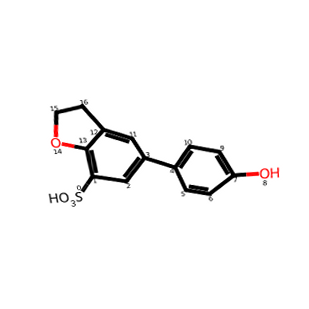 O=S(=O)(O)c1cc(-c2ccc(O)cc2)cc2c1OCC2